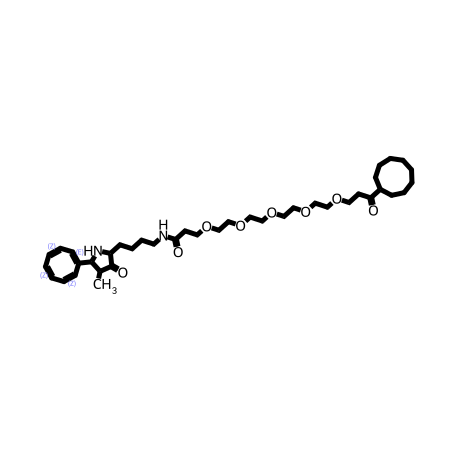 CC1C(=O)C(CCCCNC(=O)CCOCCOCCOCCOCCOCCC(=O)C2CCCCCCCC2)NC1C1=C/C=C\C=C/C=C\1